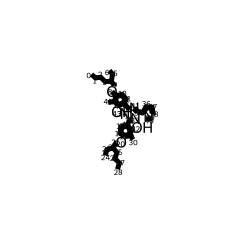 CCCCC(CC)COc1ccc(-c2nc(-c3ccc(OCC(CC)CCCC)c(C)c3O)nc(-c3cccn3C)n2)c(O)c1C